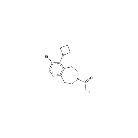 CCc1ccc2c(c1N1CCC1)CCN(C(=O)C(F)(F)F)CC2